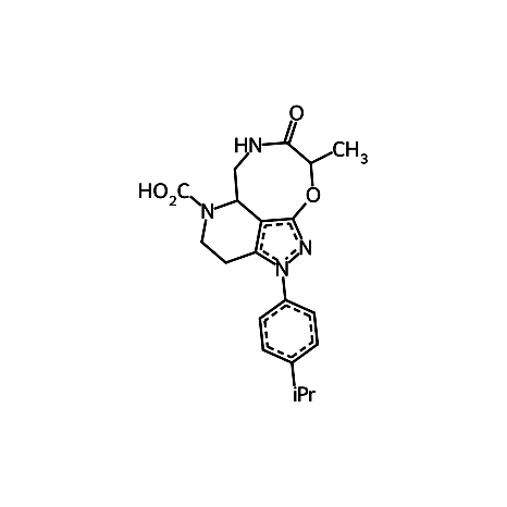 CC1Oc2nn(-c3ccc(C(C)C)cc3)c3c2C(CNC1=O)N(C(=O)O)CC3